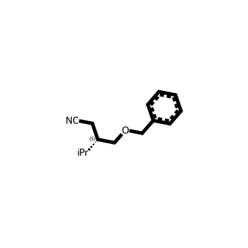 CC(C)[C@H](CC#N)COCc1ccccc1